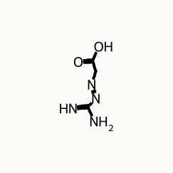 N=C(N)N=NCC(=O)O